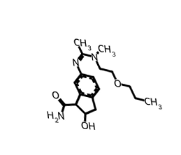 CCCOCCN(C)C(C)=Nc1ccc2c(c1)C(C(N)=O)C(O)C2